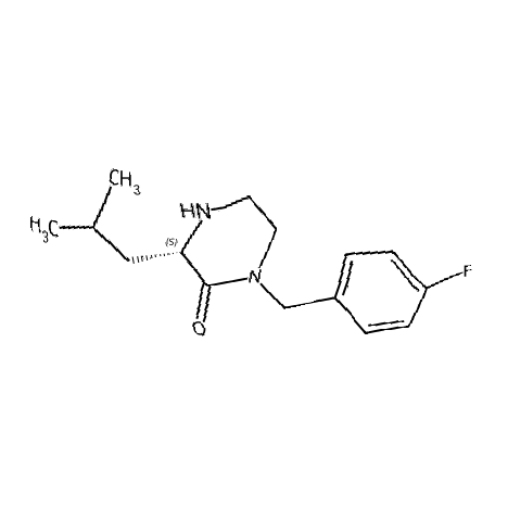 CC(C)C[C@@H]1NCCN(Cc2ccc(F)cc2)C1=O